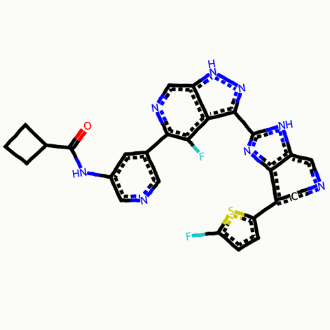 O=C(Nc1cncc(-c2ncc3[nH]nc(-c4nc5c(-c6ccc(F)s6)cncc5[nH]4)c3c2F)c1)C1CCC1